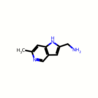 Cc1cc2[nH]c(CN)cc2cn1